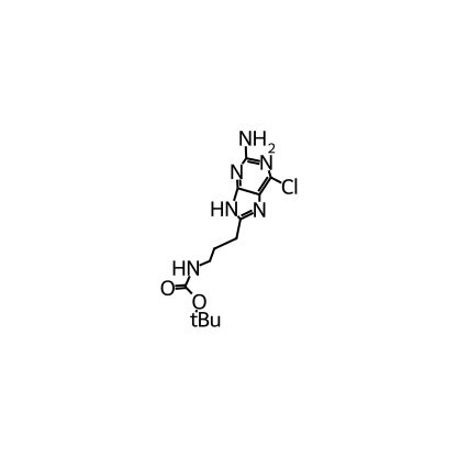 CC(C)(C)OC(=O)NCCCc1nc2c(Cl)nc(N)nc2[nH]1